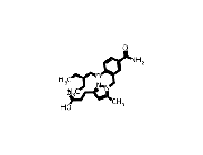 CCC(CC)COc1ccc(C(N)=O)cc1Cn1nc(CCC(=O)O)cc1C